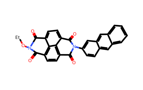 CCON1C(=O)c2ccc3c4c(ccc(c24)C1=O)C(=O)N(c1ccc2cc4ccccc4cc2c1)C3=O